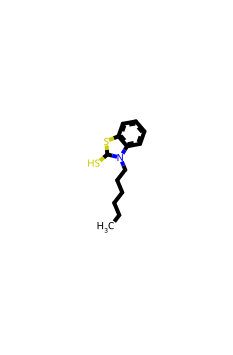 CCCCCCN1c2ccccc2SC1S